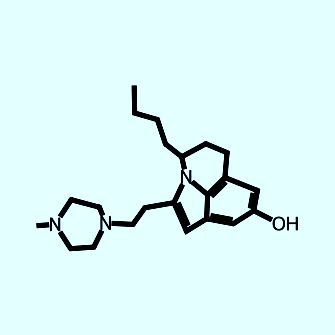 CCCCC1CCc2cc(O)cc3cc(CCN4CCN(C)CC4)n1c23